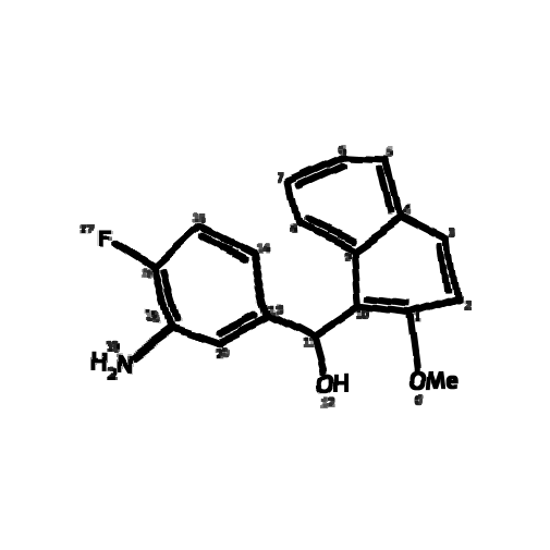 COc1ccc2ccccc2c1C(O)c1ccc(F)c(N)c1